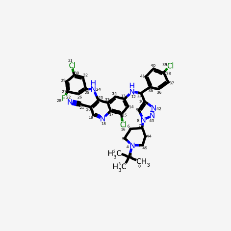 CC(C)(C)N1CCC(n2cc(C(Nc3cc(Cl)c4ncc(C#N)c(Nc5cc(F)cc(Cl)c5)c4c3)c3ccc(Cl)cc3)nn2)CC1